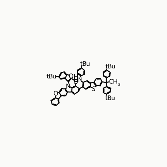 CC(C)(C)c1ccc(Nc2cc3c(cc2-c2ccc4c5cc6c(cc5n5c4c2Bc2oc4ccc(C(C)(C)C)cc4c2-5)oc2ccccc26)sc2cc(C(C)(c4ccc(C(C)(C)C)cc4)c4ccc(C(C)(C)C)cc4)ccc23)cc1